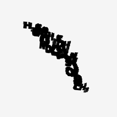 CCOC(=O)CC1CN=C(c2cc3cc(Oc4ccc(S(C)(=O)=O)cn4)cc(OC)c3[nH]2)S1